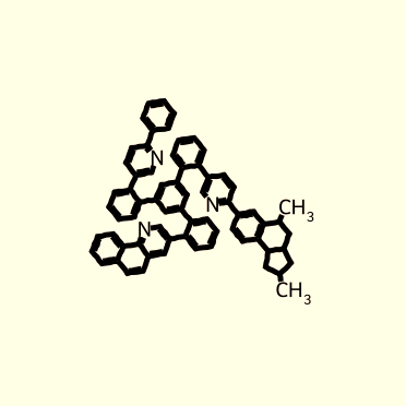 CC1CC2CC(C)c3cc(-c4ccc(-c5ccccc5-c5cc(-c6ccccc6-c6ccc(-c7ccccc7)nc6)cc(-c6ccccc6-c6cnc7c(ccc8ccccc87)c6)c5)cn4)ccc3C2C1